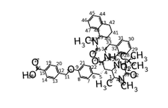 C[C@@H](C(N)[C@H](Cc1ccc(OCc2ccc(C(=O)O)cc2)cc1)C(=O)N1Cc2ccccc2C[C@H]1C(=O)N(C)[C@@H]1CCCc2ccccc21)N(C)C(=O)OC(C)(C)C